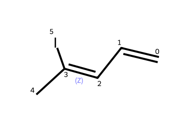 C=C/C=C(/C)I